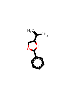 C=C(C)C1COC(c2ccccc2)O1